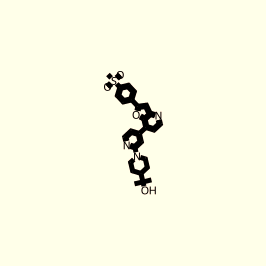 CC(C)(O)C1CCN(c2cc(-c3ccnc4cc(-c5ccc(S(C)(=O)=O)cc5)oc34)ccn2)CC1